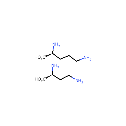 NCCC[C@H](N)C(=O)O.NCC[C@H](N)C(=O)O